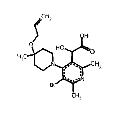 C=CCOC1(C)CCN(c2c(Br)c(C)nc(C)c2C(O)C(=O)O)CC1